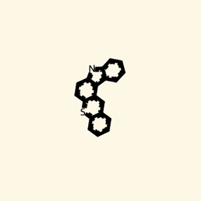 c1ccc2sc3ccc4nc5ccccc5c4c3cc2c1